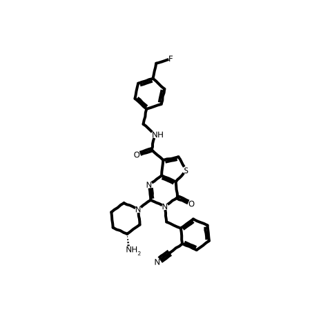 N#Cc1ccccc1Cn1c(N2CCC[C@@H](N)C2)nc2c(C(=O)NCc3ccc(CF)cc3)csc2c1=O